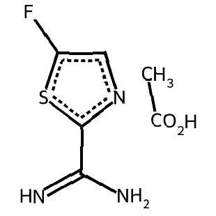 CC(=O)O.N=C(N)c1ncc(F)s1